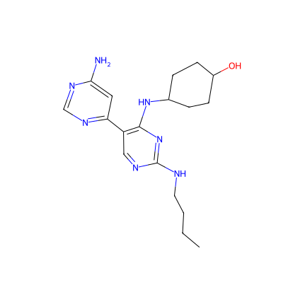 CCCCNc1ncc(-c2cc(N)ncn2)c(NC2CCC(O)CC2)n1